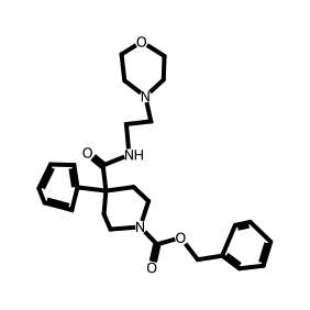 O=C(OCc1ccccc1)N1CCC(C(=O)NCCN2CCOCC2)(c2ccccc2)CC1